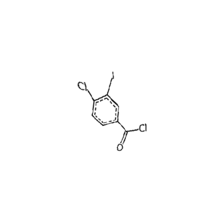 O=C(Cl)c1ccc(Cl)c(I)c1